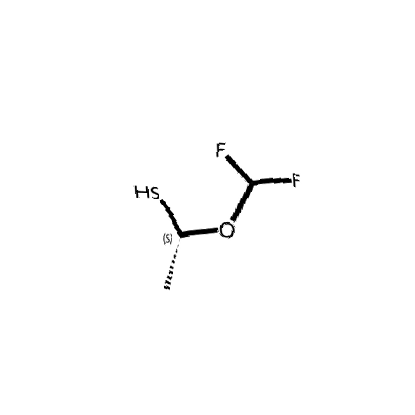 C[C@H](S)OC(F)F